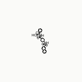 CC(C)(O)[C@@H](NC(=O)C1CCC(NS(=O)(=O)c2ccc3ccccc3c2)CC1)c1ccccc1